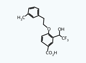 Cc1cccc(CCOc2ccc(C(=O)O)cc2C(O)C(F)(F)F)c1